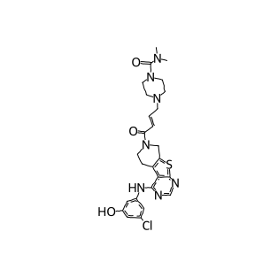 CN(C)C(=O)N1CCN(C/C=C/C(=O)N2CCc3c(sc4ncnc(Nc5cc(O)cc(Cl)c5)c34)C2)CC1